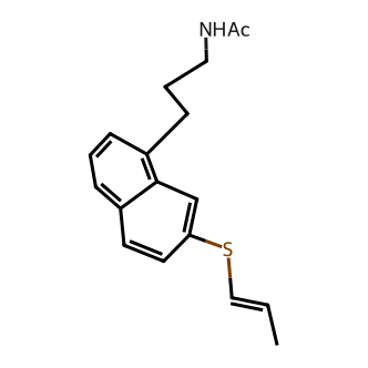 CC=CSc1ccc2cccc(CCCNC(C)=O)c2c1